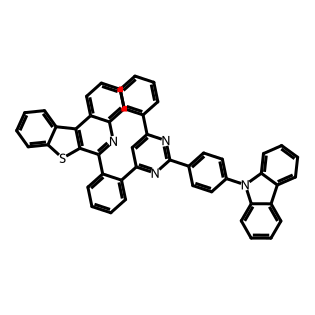 c1ccc(-c2cc(-c3ccccc3-c3nc4ccccc4c4c3sc3ccccc34)nc(-c3ccc(-n4c5ccccc5c5ccccc54)cc3)n2)cc1